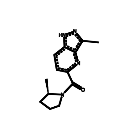 Cc1n[nH]c2ccc(C(=O)N3CCC[C@H]3C)nc12